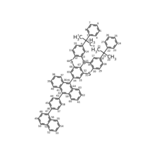 CC(C)(c1ccccc1)c1ccc2c(c1)B1c3cc(C(C)(C)c4ccccc4)ccc3Sc3cc(-c4c5ccccc5c(-c5ccc(-c6cccc7ccccc67)cc5)c5ccccc45)cc(c31)S2